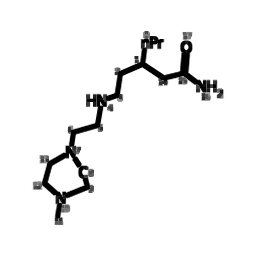 CCCC(CCNCCN1CCN(C)CC1)CC(N)=O